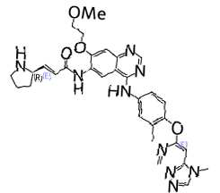 C=N/C(=C\c1nncn1C)Oc1ccc(Nc2ncnc3cc(OCCOC)c(NC(=O)/C=C/[C@H]4CCCN4)cc23)cc1C